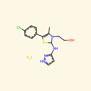 CC1=C(c2ccc(Cl)cc2)SC(Nc2cc[nH]n2)N1CCO.S